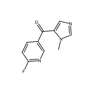 Cn1cncc1C(=O)c1ccc(F)nc1